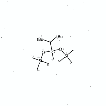 CC(C)(C)C(C(C)(C)C)[Si](C)(O[Si](C)(C)C)O[Si](C)(C)C